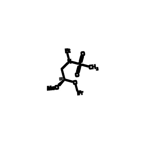 CCN(C[C@H](OC)OC(C)C)S(C)(=O)=O